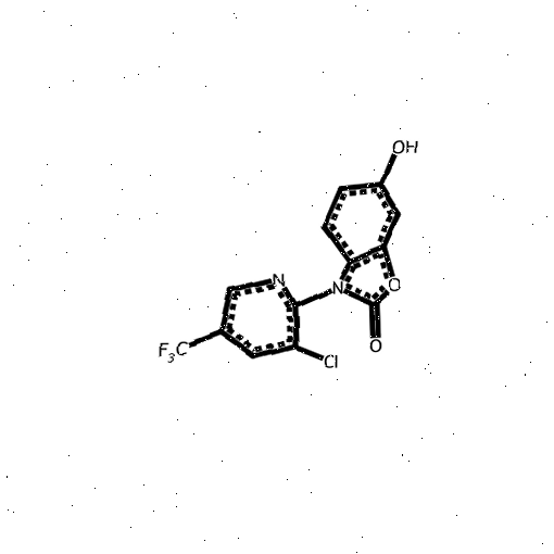 O=c1oc2cc(O)ccc2n1-c1ncc(C(F)(F)F)cc1Cl